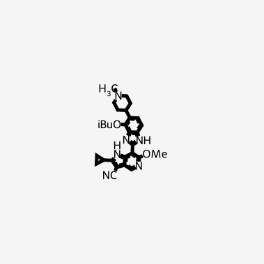 COc1ncc2c(C#N)c(C3CC3)[nH]c2c1-c1nc2c(OCC(C)C)c(C3CCN(C)CC3)ccc2[nH]1